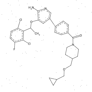 CC(Oc1cc(-c2ccc(C(=O)N3CCC(COCC4CC4)CC3)cc2)cnc1N)c1c(Cl)ccc(F)c1Cl